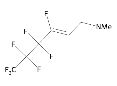 CNC/C=C(\F)C(F)(F)C(F)(F)C(F)(F)F